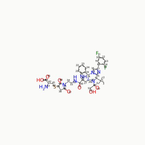 CC(C)(C)C(c1nc(-c2cc(F)ccc2F)cn1Cc1ccccc1)N(CCC(N)C(=O)NCCN1C(=O)CC(SCC(N)C(=O)O)C1=O)C(=O)CO